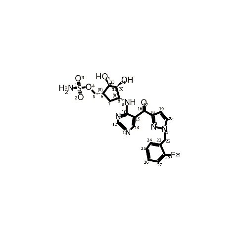 NS(=O)(=O)OC[C@H]1C[C@@H](Nc2ncncc2C(=O)c2ccn(Cc3ccccc3F)n2)[C@H](O)[C@@H]1O